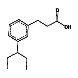 CCC(CC)c1cccc(CCC(=O)O)c1